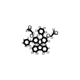 c1ccc(-c2cc(C3(c4ccc(OCC5CO5)c(-c5ccccc5)c4)c4ccccc4-c4ccccc43)ccc2OCC2CO2)cc1